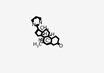 C[C@@H]1C=C2CC(=O)CC[C@]2(C)[C@H]2CC[C@]3(C)C(c4ncccn4)=CC[C@H]3[C@H]12